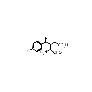 N[C@H](C=O)C(CC(=O)O)Nc1ccc(O)cc1